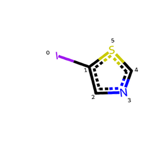 Ic1cncs1